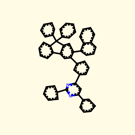 c1ccc(-c2cc(-c3cccc(-c4cc5c(cc4-c4cccc6ccccc46)C(c4ccccc4)(c4ccccc4)c4ccccc4-5)c3)nc(-c3ccccc3)n2)cc1